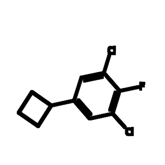 Fc1c(Cl)cc(C2CCC2)cc1Cl